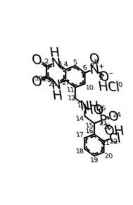 Cl.O=c1[nH]c2cc([N+](=O)[O-])cc(CNCC(c3ccccc3Cl)P(=O)(O)O)c2[nH]c1=O